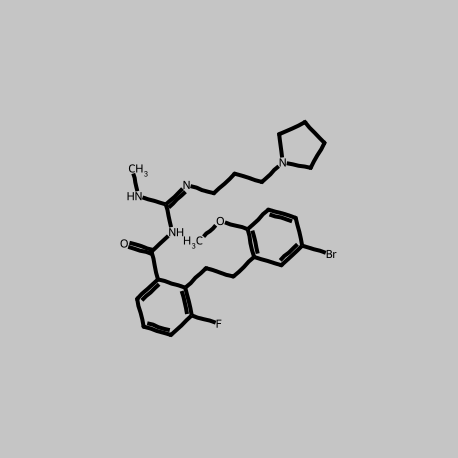 CN/C(=N/CCCN1CCCC1)NC(=O)c1cccc(F)c1CCc1cc(Br)ccc1OC